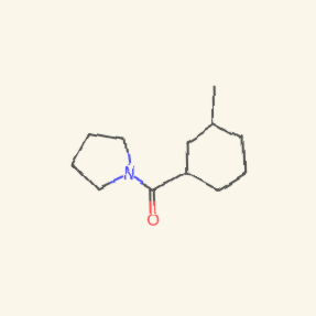 CC1CCCC(C(=O)N2CCCC2)C1